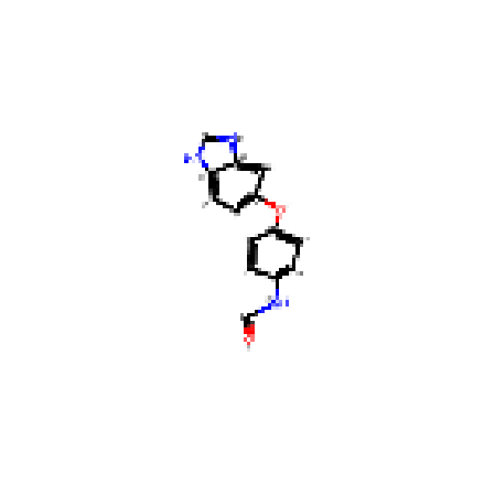 O=CNc1ccc(Oc2ccc3[nH]cnc3c2)cc1